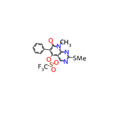 CSc1ncc2c(OS(=O)(=O)C(F)(F)F)c(-c3ccccc3)c(=O)n(C)c2n1